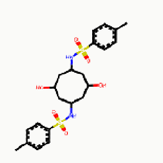 Cc1ccc(S(=O)(=O)NC2CC(O)CC(NS(=O)(=O)c3ccc(C)cc3)CC(O)C2)cc1